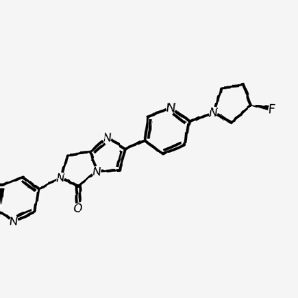 O=C1N(c2cccnc2)Cc2nc(-c3ccc(N4CC[C@@H](F)C4)nc3)cn21